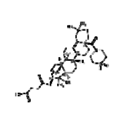 CC1(C)CC[C@]2(C(=O)N3CCS(=O)(=O)CC3)CC[C@]3(C)C(=C2C1)CC[C@@H]1[C@@]2(C)CC[C@H](OC(=O)CCC(=O)O)C(C)(C)[C@@H]2CC[C@]13C